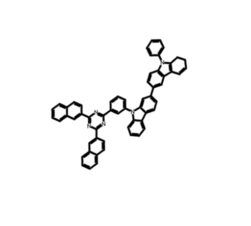 C1=Cc2c(n(-c3ccccc3)c3ccc(-c4ccc5c6ccccc6n(-c6cccc(-c7nc(-c8ccc9ccccc9c8)nc(-c8ccc9ccccc9c8)n7)c6)c5c4)cc23)CC1